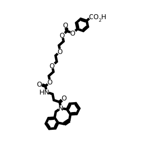 O=C(NCCC(=O)N1Cc2ccccc2C#Cc2ccccc21)OCCOCCOCCOC(=O)Oc1ccc(C(=O)O)cc1